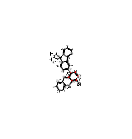 CC1(C)c2ccccc2-c2cc(-c3ccc(Br)c4c3C3c5ccccc5C4c4ccccc43)ccc21